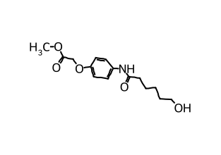 COC(=O)COc1ccc(NC(=O)CCCCCO)cc1